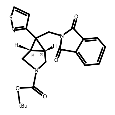 CC(C)(C)OC(=O)N1C[C@@H]2[C@H](C1)C2(CN1C(=O)c2ccccc2C1=O)c1ccsn1